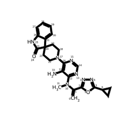 C=C(c1nnc(C2CC2)o1)N(C)c1ncnc(N2CCC3(CC2)C(=O)Nc2ccccc23)c1N